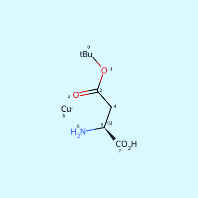 CC(C)(C)OC(=O)C[C@H](N)C(=O)O.[Cu]